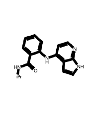 CC(C)NC(=O)c1ccccc1Nc1ccnc2[nH]ccc12